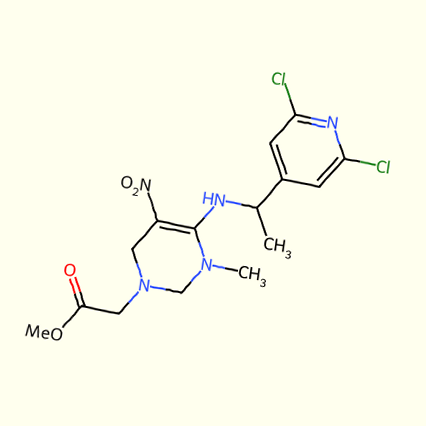 COC(=O)CN1CC([N+](=O)[O-])=C(NC(C)c2cc(Cl)nc(Cl)c2)N(C)C1